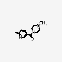 CN1CCN(C(=O)c2ccc(I)nc2)CC1